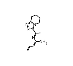 C=C/C=C(N)\N=C(/C)c1nnc2n1CCCC2